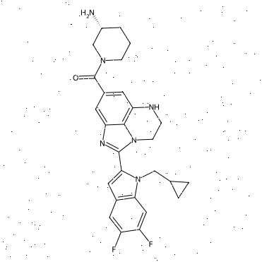 N[C@@H]1CCCN(C(=O)c2cc3c4c(c2)nc(-c2cc5cc(F)c(F)cc5n2CC2CC2)n4CCN3)C1